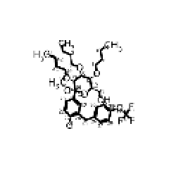 CCCCO[C@H]1[C@H](OCCCC)[C@@H](CO)O[C@@](OC)(c2ccc(Cl)c(Cc3ccc(OC(F)(F)F)cc3)c2)[C@@H]1OCCCC